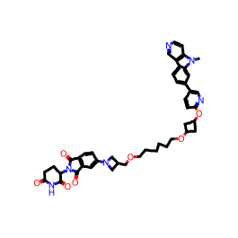 Cn1c2ccncc2c2ccc(-c3ccc(OC4CC(OCCCCCCOCC5CN(c6ccc7c(c6)C(=O)N(C6CCC(=O)NC6=O)C7=O)C5)C4)nc3)cc21